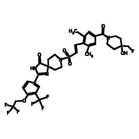 Cc1cc(C(=O)N2CCC(O)(CF)CC2)cc(C)c1C=CS(=O)(=O)N1CCC2(CC1)N=C(c1ccc(OCC(F)(F)F)c(C(F)(F)F)c1)NC2=O